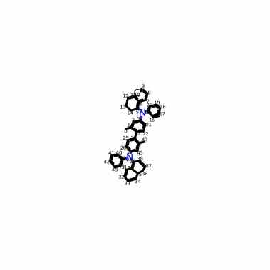 Cc1cc(N(C2=c3ccccc3=CCC2)c2c#cccc2)ccc1-c1ccc(N(C2=C3C=CC=CC3CC=C2)c2ccccc2)cc1C